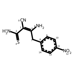 N#CC(C(N)=S)=C(N)Cc1ccc([N+](=O)[O-])cc1